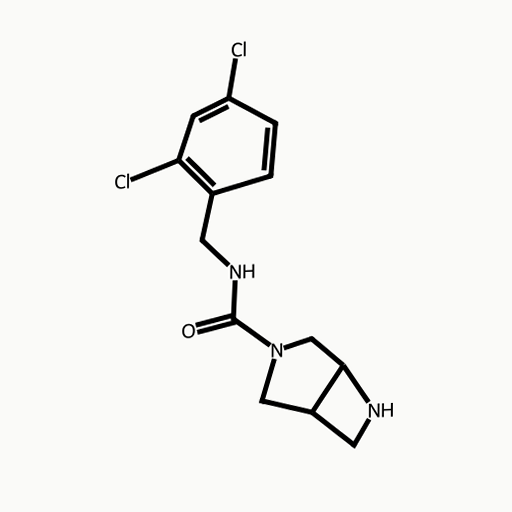 O=C(NCc1ccc(Cl)cc1Cl)N1CC2CNC2C1